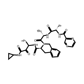 CCCC(NC(=O)[C@@H]1Cc2ccccc2CN1C(=O)[C@@H](NC(=O)[C@@H](NC(=O)c1cnccn1)C(C)C)C(C)(C)C)C(=O)C(=O)NC1CC1